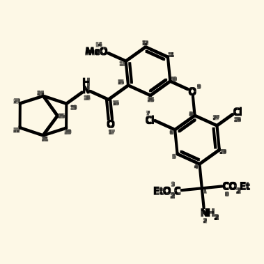 CCOC(=O)C(N)(C(=O)OCC)c1cc(Cl)c(Oc2ccc(OC)c(C(=O)NC3CC4CCC3C4)c2)c(Cl)c1